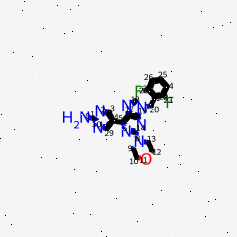 Nc1ncc(-c2nc(N3CCOCC3)nc3c2ncn3Cc2c(F)cccc2F)cn1